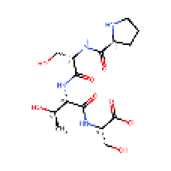 C[C@@H](O)[C@H](NC(=O)[C@H](CO)NC(=O)[C@@H]1CCCN1)C(=O)N[C@@H](CO)C(=O)O